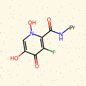 CC(C)NC(=O)c1c(F)c(=O)c(O)cn1O